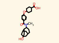 CN(C(=O)c1ccc(OC2CCC(C(=O)O)CC2)cc1)C1CCC2CC3CC(O)(C2)CC31